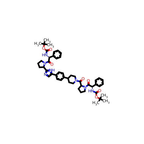 CC(C)(C)OC(=O)N[C@H](C(=O)N1CCCC1C(=O)N1CCC(c2ccc(-c3cnc(C4CCCN4C(=O)[C@H](NC(=O)OC(C)(C)C)c4ccccc4)[nH]3)cc2)CC1)c1ccccc1